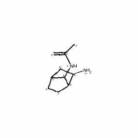 C=C(C)NC1C2CCC1C(N)C2